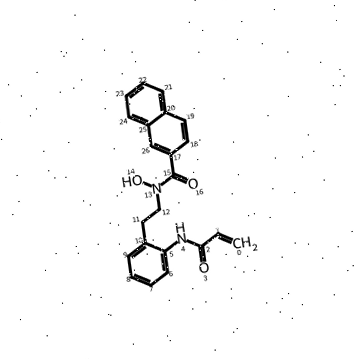 C=CC(=O)Nc1ccccc1CCN(O)C(=O)c1ccc2ccccc2c1